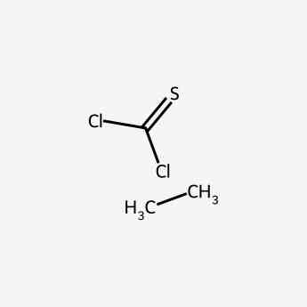 CC.S=C(Cl)Cl